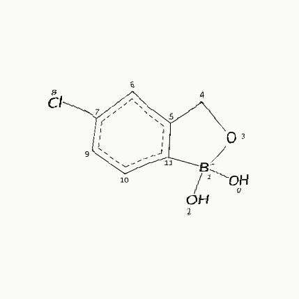 O[B-]1(O)OCc2cc(Cl)ccc21